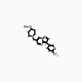 COC1CCN(Cc2cnc3c(-c4ccc(C(F)(F)F)nc4)cnn3c2)CC1